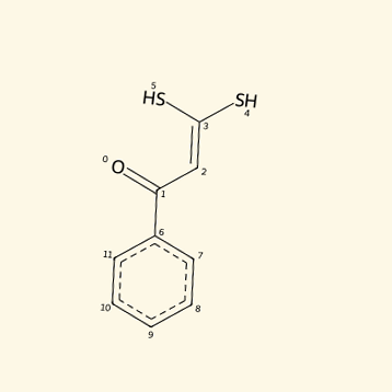 O=C(C=C(S)S)c1ccccc1